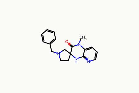 CN1C(=O)C2(CCN(Cc3ccccc3)C2)Nc2ncccc21